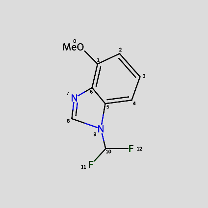 COc1cccc2c1ncn2C(F)F